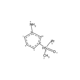 CC(C)[SH](C)(=O)c1cccc(N)c1